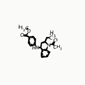 CCC1CC(Nc2ccc(C(=O)OC)cc2)c2ccccc2N1C(C)=O